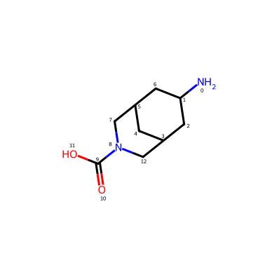 NC1CC2CC(C1)CN(C(=O)O)C2